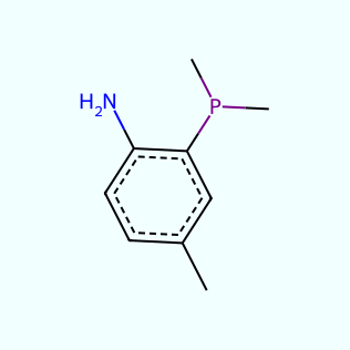 Cc1ccc(N)c(P(C)C)c1